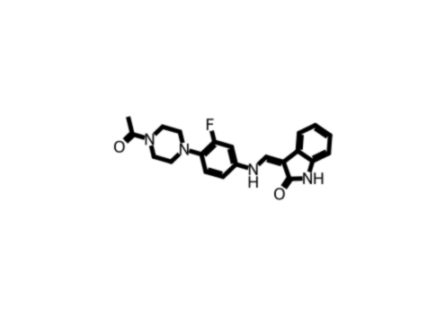 CC(=O)N1CCN(c2ccc(NC=C3C(=O)Nc4ccccc43)cc2F)CC1